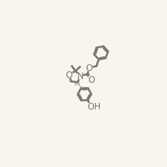 CC1(C)OC[C@@H](c2ccc(O)cc2)N1C(=O)OCc1ccccc1